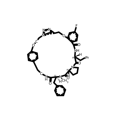 CC(C)C[C@H]1NC(=O)c2ccc(F)cc2OCc2cn(nn2)CCOc2ccc(cc2)CCNC(=O)[C@H](Cc2ccccc2)N(C)C(=O)[C@H]2CCCN2C1=O